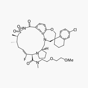 COCCOCCN(C)C(=O)[C@H]1/C(F)=C/C[C@H](C)[C@@H](C)S(=O)(=O)NC(=O)c2ccc3c(c2)N(C[C@@H]2CCCN21)C[C@@]1(CCCc2cc(Cl)ccc21)CO3